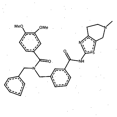 COc1ccc(C(=O)N(Cc2ccccc2)Cc2cccc(C(=O)Nc3nc4c(s3)CN(C)CC4)c2)cc1OC